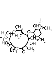 CC[C@H]1OC(=O)[C@H](C)[C@@H](O)[C@H](C)[C@@H](O[C@@H]2O[C@H](C)CC(N(C)C)[C@H]2O)/C(C)=C/[C@@H](C)CN(C)[C@H](C)[C@@H](O)[C@]1(C)O